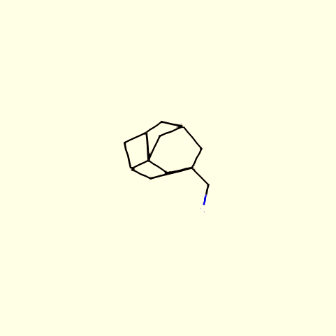 NCC12CC3CC4CC(C1)C4(C3)C2